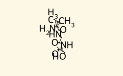 CC[C@H](C)[C@H](N)C(=O)NCC(=O)N[C@H]([C]=O)CO